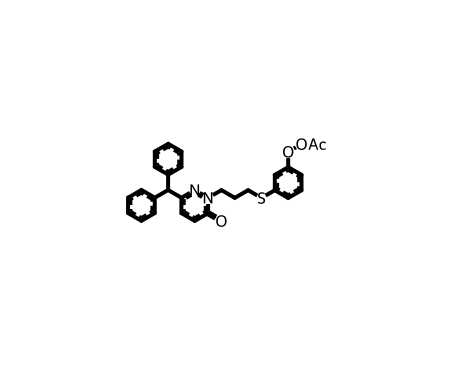 CC(=O)OOc1cccc(SCCCn2nc(C(c3ccccc3)c3ccccc3)ccc2=O)c1